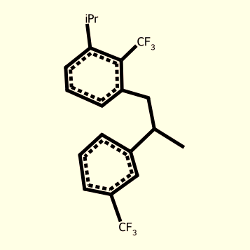 CC(C)c1cccc(CC(C)c2cccc(C(F)(F)F)c2)c1C(F)(F)F